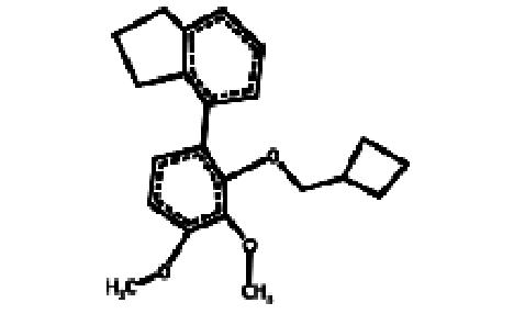 COc1ccc(-c2cccc3c2CCC3)c(OCC2CCC2)c1OC